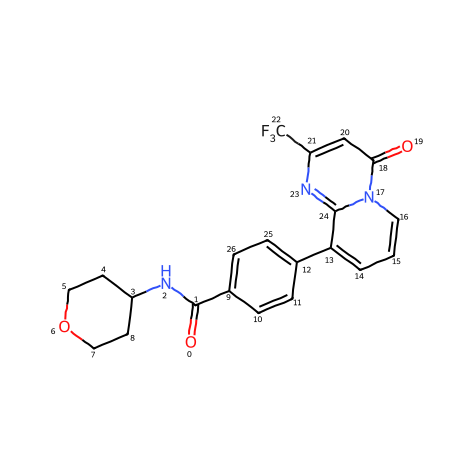 O=C(NC1CCOCC1)c1ccc(-c2cccn3c(=O)cc(C(F)(F)F)nc23)cc1